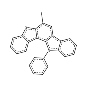 Ic1cc2c3ccccc3n(-c3ccccc3)c2c2c1sc1ccccc12